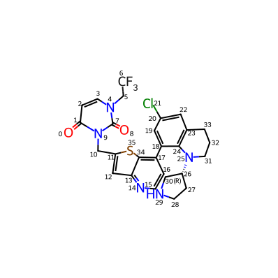 O=c1ccn(CC(F)(F)F)c(=O)n1Cc1cc2nccc(-c3cc(Cl)cc4c3N([C@@H]3CCNC3)CCC4)c2s1